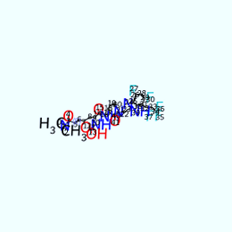 CN(C)C(=O)/C=C/CCC(NC(=O)O)C(=O)Nc1cccn(Cc2nc3c(F)cc(F)c(CCC(F)(F)F)c3[nH]2)c1=O